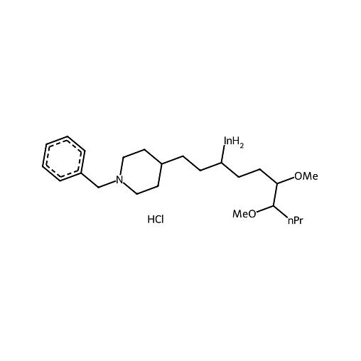 CCCC(OC)C(CC[CH]([InH2])CCC1CCN(Cc2ccccc2)CC1)OC.Cl